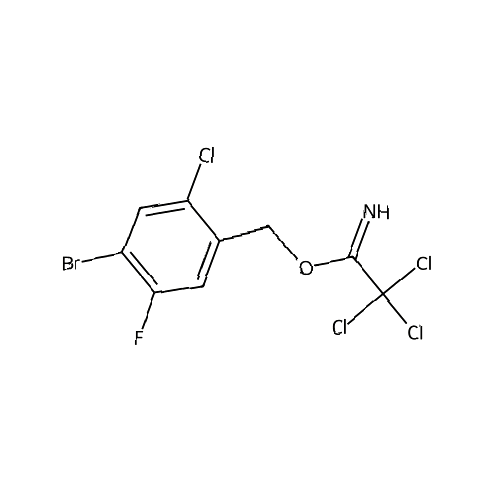 N=C(OCc1cc(F)c(Br)cc1Cl)C(Cl)(Cl)Cl